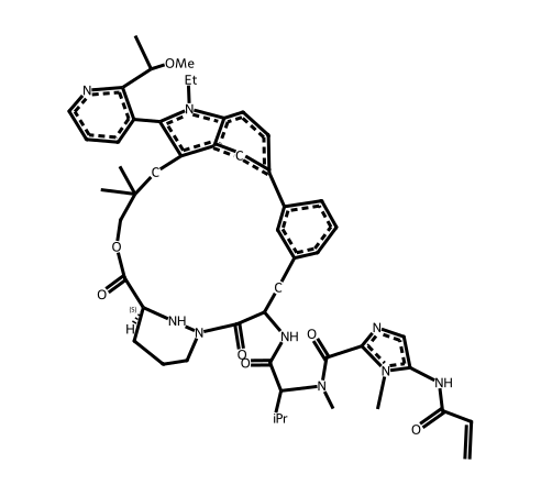 C=CC(=O)Nc1cnc(C(=O)N(C)C(C(=O)NC2Cc3cccc(c3)-c3ccc4c(c3)c(c(-c3cccnc3C(C)OC)n4CC)CC(C)(C)COC(=O)[C@@H]3CCCN(N3)C2=O)C(C)C)n1C